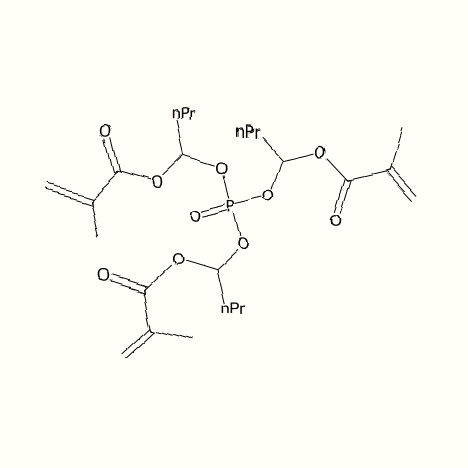 C=C(C)C(=O)OC(CCC)OP(=O)(OC(CCC)OC(=O)C(=C)C)OC(CCC)OC(=O)C(=C)C